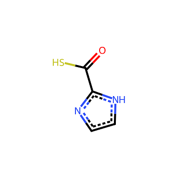 O=C(S)c1ncc[nH]1